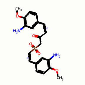 COc1ccc(/C=C\C(=O)CS(=O)(=O)/C=C\c2ccc(OC)c(N)c2)cc1N